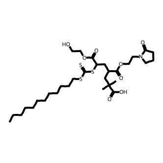 CCCCCCCCCCCCSC(=S)SC(CC(CC(C)(C)C(=O)O)C(=O)OCCN1CCCC1=O)C(=O)OCCO